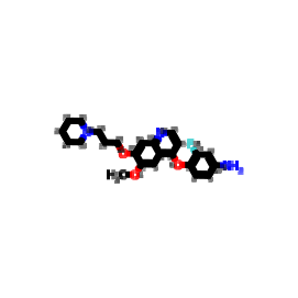 COc1cc2c(Oc3ccc(N)cc3F)ccnc2cc1OCCCN1CCCCC1